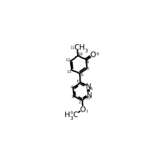 COc1ccc(C2=CC(=O)C(C)C=C2)nn1